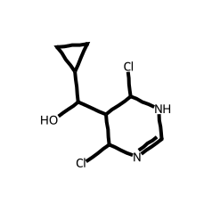 OC(C1CC1)C1C(Cl)N=CNC1Cl